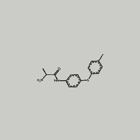 Cc1ccc(Sc2ccc(NC(=O)C(C)N)cc2)cc1